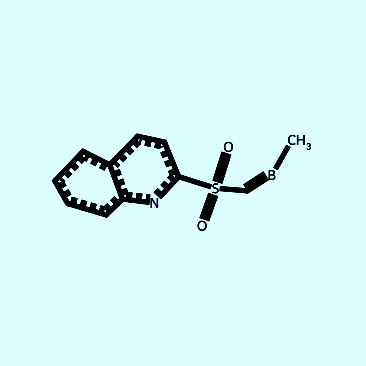 CB=CS(=O)(=O)c1ccc2ccccc2n1